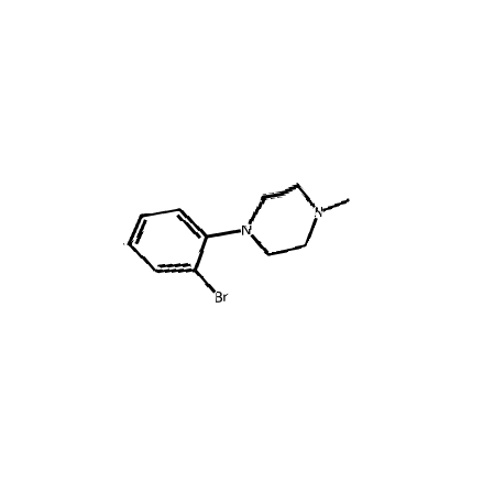 CN1CCN(c2cc[c]cc2Br)CC1